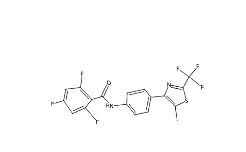 Cc1sc(C(F)(F)F)nc1-c1ccc(NC(=O)c2c(F)cc(F)cc2F)cc1